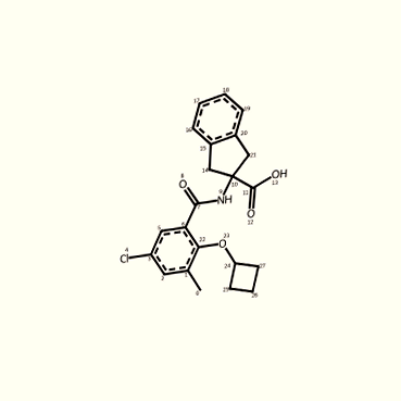 Cc1cc(Cl)cc(C(=O)NC2(C(=O)O)Cc3ccccc3C2)c1OC1CCC1